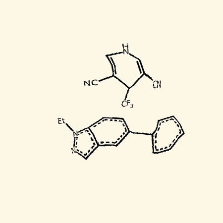 CCn1ncc2cc(-c3ccccc3)ccc21.N#CC1=CNC=C(C#N)C1C(F)(F)F